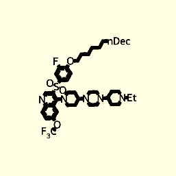 CCCCCCCCCCCCCCCCOc1ccc(S(=O)(=O)c2cnc3ccc(OC(F)(F)F)cc3c2N2CCC(N3CCN(C4CCN(CC)CC4)CC3)CC2)cc1F